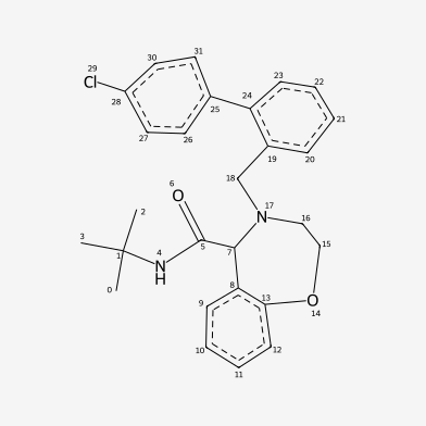 CC(C)(C)NC(=O)C1c2ccccc2OCCN1Cc1ccccc1-c1ccc(Cl)cc1